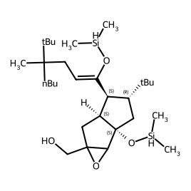 CCCCC(C)(CC=C(O[SiH](C)C)[C@H]1[C@H](C(C)(C)C)C[C@@]2(O[SiH](C)C)C3OC3(CO)C[C@@H]12)C(C)(C)C